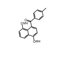 COc1ccc(C(=O)c2ccc(C)cc2)c2c(OC)cccc12